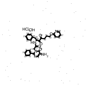 Cl.Cl.Nc1cnc(-c2ccccc2)n(CC(=O)NC(Cc2ccccc2)C(=O)C(=O)CCCOc2ccccn2)c1=O